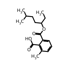 CCC(CCC(C)C)OC(=O)c1cccc(C)c1C(=O)O